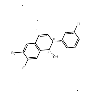 O[C@@H]1c2cc(Br)c(Br)cc2C=C[C@@H]1c1cccc(Cl)c1